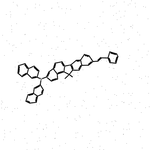 CC1(C)c2cc3cc(/C=C/c4ccccc4)ccc3cc2-c2ccc3cc(N(c4ccc5ccccc5c4)c4ccc5ccccc5c4)ccc3c21